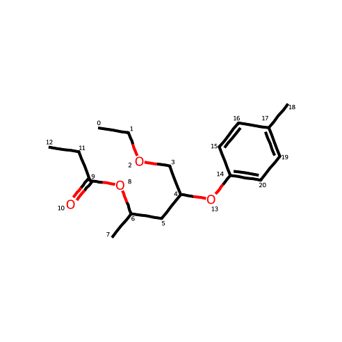 CCOCC(CC(C)OC(=O)CC)Oc1ccc(C)cc1